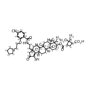 CC(C)C1=C2[C@H]3CC[C@@H]4[C@@]5(C)CC[C@H](OC(=O)[C@H]6C[C@@H](C(=O)O)C6(C)C)C(C)(C)[C@@H]5CC[C@@]4(C)[C@]3(C)CC[C@@]2(CCNC(=O)c2ccc(Cl)cc2OCCN2CCCC2)CC1=O